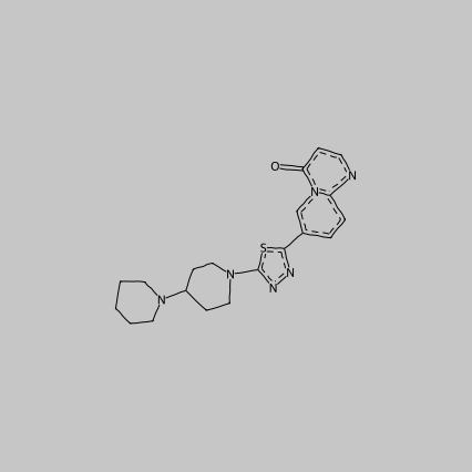 O=c1ccnc2ccc(-c3nnc(N4CCC(N5CCCCC5)CC4)s3)cn12